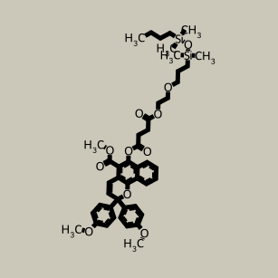 CCCC[Si](C)(C)O[Si](C)(C)CCCOCCOC(=O)CCC(=O)Oc1c(C(=O)OC)c2c(c3ccccc13)OC(c1ccc(OC)cc1)(c1ccc(OC)cc1)C=C2